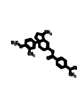 COc1ccc(C23CCC(OC(=O)c4ccc(C(C)C)cc4)=CC2N(C)CC3)cc1C